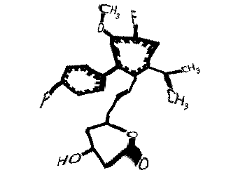 COc1c(F)cc(C(C)C)c(C=CC2CC(O)CC(=O)O2)c1-c1ccc(F)cc1